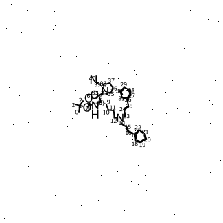 CC(C)(C)OC(=O)N[C@@H](CCCCN(CC=Cc1ccccc1)CC=Cc1ccccc1)C(=O)N1CCC[C@H]1C#N